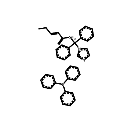 C=C(C=CCC)[SiH2]C(c1ccccc1)(c1ccccc1)n1ccnc1.c1ccc(B(c2ccccc2)c2ccccc2)cc1